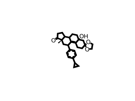 C[C@]12CC(c3ccc(C4CC4)cc3)C3=C4CCC5(C[C@]4(O)CCC3C1CCC2=O)OCCO5